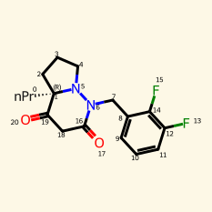 CCC[C@]12CCCN1N(Cc1cccc(F)c1F)C(=O)CC2=O